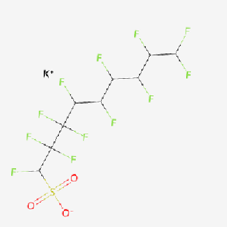 O=S(=O)([O-])C(F)C(F)(F)C(F)(F)C(F)C(F)C(F)C(F)C(F)C(F)F.[K+]